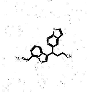 CSCc1cccc2c(C(CCC#N)c3ccc4sccc4c3)c[nH]c12